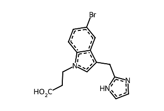 O=C(O)CCn1cc(Cc2ncc[nH]2)c2cc(Br)ccc21